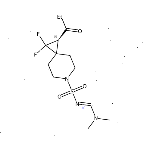 CCC(=O)[C@@H]1C(F)(F)C12CCN(S(=O)(=O)/N=C/N(C)C)CC2